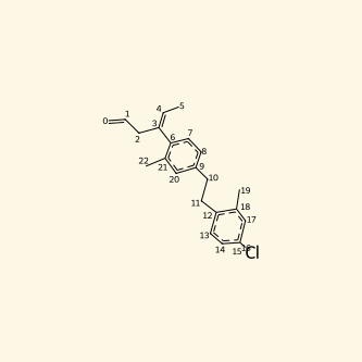 C=CC/C(=C/C)c1ccc(CCc2ccc(Cl)cc2C)cc1C